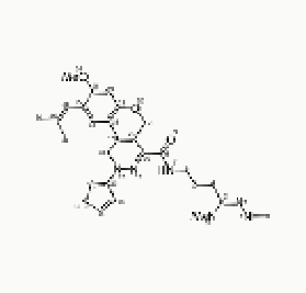 C=N/N=C(/CCCNC(=O)C1=NN(c2ccsc2)CC2=C1COc1cc(OC)c(C=C(C)C)cc12)NC